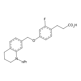 CCCN1CCCc2ccc(COc3ccc(CCC(=O)O)c(F)c3)cc21